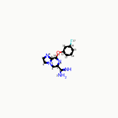 N=C(N)c1cn2ccnc2c(Oc2cccc(F)c2)n1